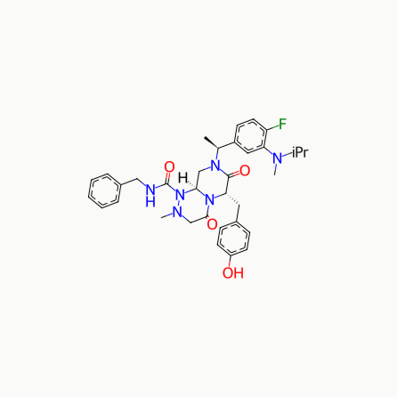 CC(C)N(C)c1cc([C@H](C)N2C[C@H]3N(C(=O)CN(C)N3C(=O)NCc3ccccc3)[C@@H](Cc3ccc(O)cc3)C2=O)ccc1F